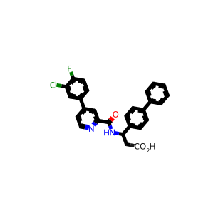 O=C(O)CC(NC(=O)c1cc(-c2ccc(F)c(Cl)c2)ccn1)c1ccc(-c2ccccc2)cc1